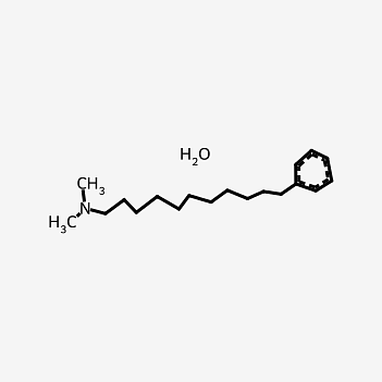 CN(C)CCCCCCCCCCCc1ccccc1.O